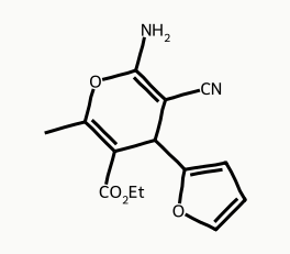 CCOC(=O)C1=C(C)OC(N)=C(C#N)C1c1ccco1